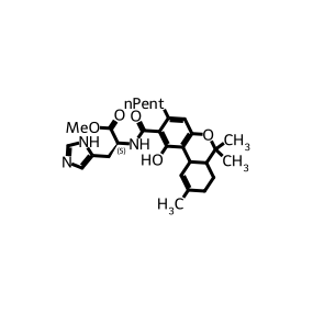 CCCCCc1cc2c(c(O)c1C(=O)N[C@@H](Cc1cnc[nH]1)C(=O)OC)C1C=C(C)CCC1C(C)(C)O2